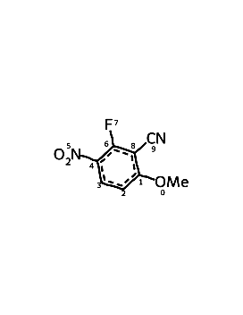 COc1ccc([N+](=O)[O-])c(F)c1C#N